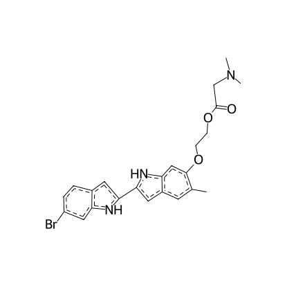 Cc1cc2cc(-c3cc4ccc(Br)cc4[nH]3)[nH]c2cc1OCCOC(=O)CN(C)C